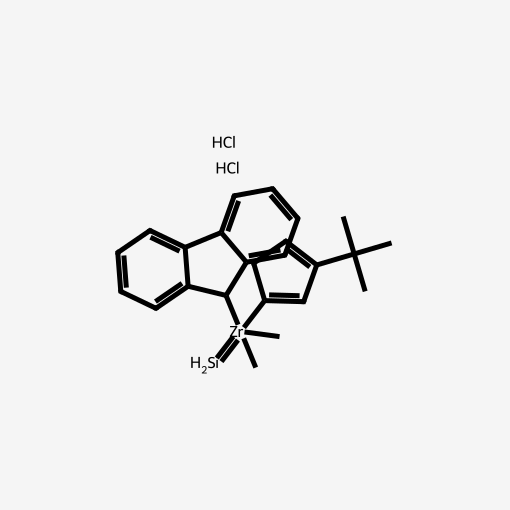 CC(C)(C)C1=CC[C]([Zr]([CH3])([CH3])(=[SiH2])[CH]2c3ccccc3-c3ccccc32)=C1.Cl.Cl